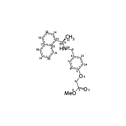 COC(=O)COc1ccc(CN[C@H](C)c2cccc3ccccc23)cc1